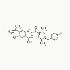 C[C@@H]1CN(Cc2ccc(F)cc2)[C@@H](C)CN1C(=O)COc1cc(N(C)C)c(Cl)cc1C(=O)O